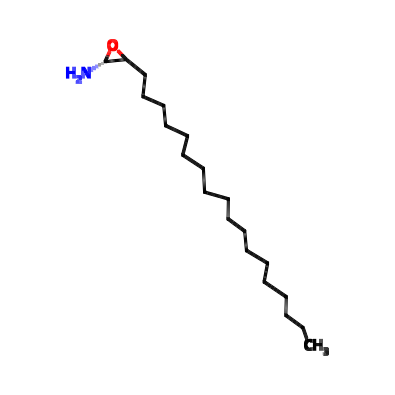 CCCCCCCCCCCCCCCCCCC1O[C@H]1N